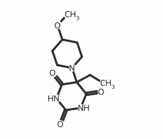 CCC1(N2CCC(OC)CC2)C(=O)NC(=O)NC1=O